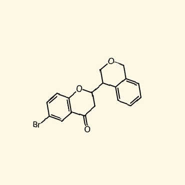 O=C1CC(C2COCc3ccccc32)Oc2ccc(Br)cc21